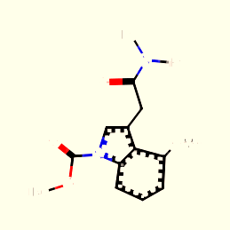 COc1cccc2c1c(CC(=O)N(C(C)C)C(C)C)cn2C(=O)OC(C)(C)C